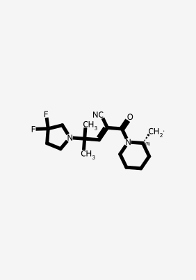 [CH2][C@@H]1CCCCN1C(=O)C(C#N)=CC(C)(C)N1CCC(F)(F)C1